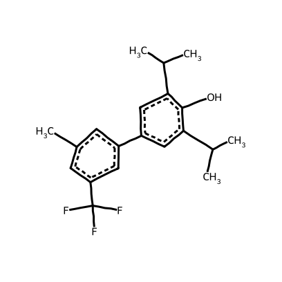 Cc1cc(-c2cc(C(C)C)c(O)c(C(C)C)c2)cc(C(F)(F)F)c1